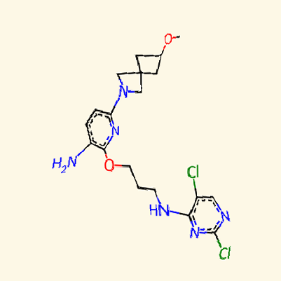 COC1CC2(C1)CN(c1ccc(N)c(OCCCNc3nc(Cl)ncc3Cl)n1)C2